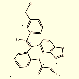 C=CC(=O)Oc1ccccc1/C(=C(\CC)c1cccc(CO)c1)c1ccc2[nH]ncc2c1